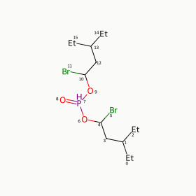 CCC(CC)CC(Br)O[PH](=O)OC(Br)CC(CC)CC